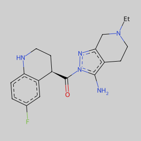 CCN1CCc2c(nn(C(=O)[C@@H]3CCNc4ccc(F)cc43)c2N)C1